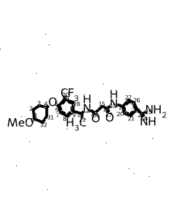 COC1CCC(Oc2ccc(C(C)NC(=O)CC(=O)Nc3ccc(C(=N)N)cc3)cc2C(F)(F)F)CC1